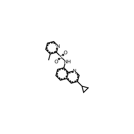 Cc1cccnc1S(=O)(=O)Nc1cccc2cc(C3CC3)cnc12